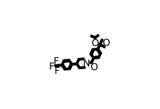 CC(C)OC1(c2ccc(C(=O)N3CCC(c4ccc(C(F)(F)F)cc4)CC3)cc2)COC1